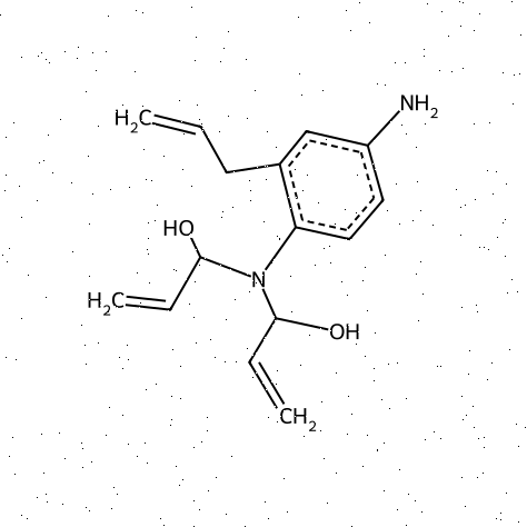 C=CCc1cc(N)ccc1N(C(O)C=C)C(O)C=C